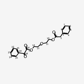 O=C(Cc1ccccc1)OCCOCCOC(=O)C(=O)c1ccccc1